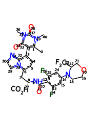 Cc1c(-c2ccc(C[C@H](NC(=O)c3c(F)cc(N4CCOC[C@@H]4C(F)(F)F)cc3F)C(=O)O)n3ccnc23)c(=O)n(C)c(=O)n1C